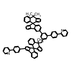 CC1(C)c2ccccc2C2(c3ccccc3-c3cc(-c4cc(CC5(C)c6ccccc6C6(c7ccccc7-c7cc(-c8ccc(-c9ccccn9)cc8)ccc76)c6ccccc65)cc(-c5ccc(-c6ccccn6)cc5)c4)ccc32)c2ccccc21